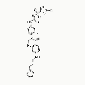 O=C(Nc1ccc(-n2cnc3cc(NCCCN4CCCC4)ccc3c2=O)c(F)c1)NS(=O)(=O)c1ccc(Cl)s1